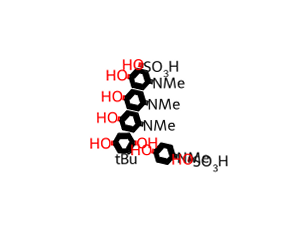 CC(C)(C)c1cc(O)ccc1O.CNc1ccc(O)cc1.CNc1ccc(O)cc1.CNc1ccc(O)cc1.CNc1ccc(O)cc1.O=S(=O)(O)O.O=S(=O)(O)O